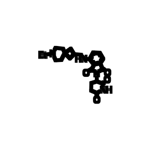 CCN1CCC2(CC1)CC(CNc1cccc3c1C(=O)N(C1CCC(=O)NC1=O)C3=O)C2